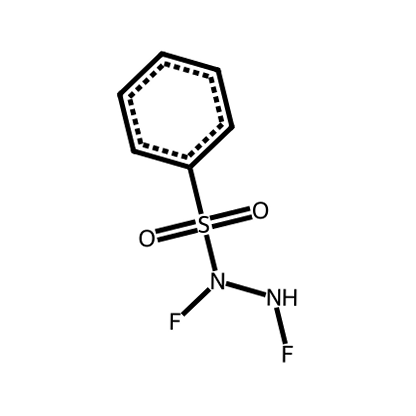 O=S(=O)(c1ccccc1)N(F)NF